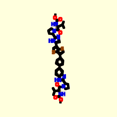 COC(=O)N[C@H](C(=O)N1CCCC1c1ncc(-c2csc3c(-c4ccc(-c5ccc6[nH]c(C7CCCN7C(=O)[C@H](NC(=O)OC)C(C)C)nc6c5)cc4)csc23)[nH]1)C(C)C